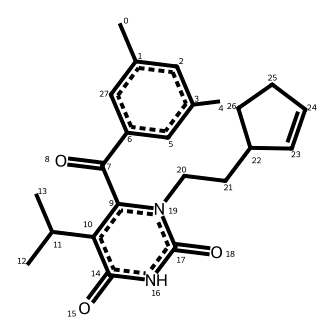 Cc1cc(C)cc(C(=O)c2c(C(C)C)c(=O)[nH]c(=O)n2CCC2C=CCC2)c1